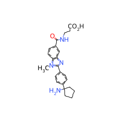 Cn1c(-c2ccc(C3(N)CCCC3)cc2)nc2cc(C(=O)NCCC(=O)O)ccc21